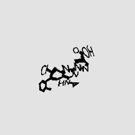 Cc1ccccc1-c1cc2c(NC3CC3)nc(-n3cc(C(=O)O)cn3)nc2cc1Cl